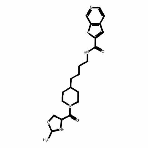 CC1NC(C(=O)N2CCC(CCCCNC(=O)c3cc4ccncc4s3)CC2)CS1